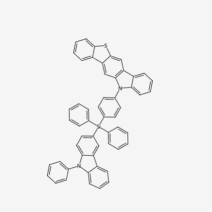 c1ccc(-n2c3ccccc3c3cc([Si](c4ccccc4)(c4ccccc4)c4ccc(-n5c6ccccc6c6cc7sc8ccccc8c7cc65)cc4)ccc32)cc1